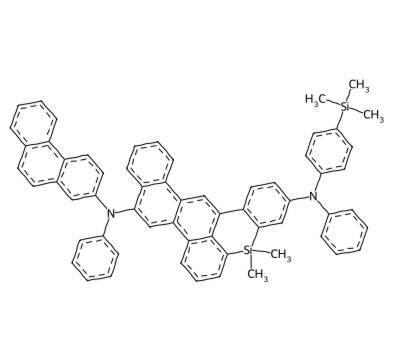 C[Si](C)(C)c1ccc(N(c2ccccc2)c2ccc3c(c2)[Si](C)(C)c2cccc4c2c-3cc2c3ccccc3c(N(c3ccccc3)c3ccc5c(ccc6ccccc65)c3)cc42)cc1